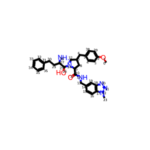 COc1ccc(CC2CC(C(=O)NCc3ccc4c(c3)nnn4C)N(C(O)C(N)CCc3ccccc3)C2)cc1